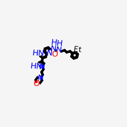 CCc1ccccc1CCCCNC(=O)Nc1ccc2c(n1)C=C(C1=CN(CCCN3CCOCC3)NC1)CN2